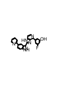 Oc1cc(F)cc(-c2nccc3[nH]c(-c4n[nH]c5ccc(-c6ccccn6)cc45)nc23)c1